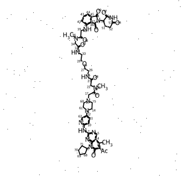 CC(=O)c1c(C)c2cnc(Nc3ccc(N4CCN(CC(=O)N(C)CC(=O)NCCOCCNC(=O)CN(C)C(=O)CNc5cccc6c5C(=O)N(C5CCC(=O)NC5=O)C6=O)CC4)cn3)nc2n(C2CCCC2)c1=O